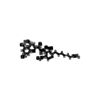 NCCCCCCc1ccc([N+](=O)[O-])c2c1NON2NC(=O)c1cc(O)c2c(Cl)cc(Cl)cc2n1